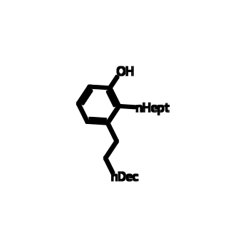 CCCCCCCCCCCCc1cccc(O)c1CCCCCCC